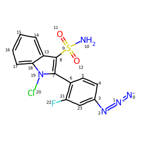 [N-]=[N+]=Nc1ccc(-c2c(S(N)(=O)=O)c3ccccc3n2Cl)c(F)c1